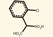 O=C(O)C(c1ccccc1Cl)S(=O)(=O)O